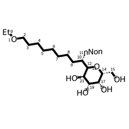 [CH2]COCCCCCCCC[C@H](CCCCCCCCC)C1O[C@H](CO)[C@H](O)[C@H](O)[C@H]1O